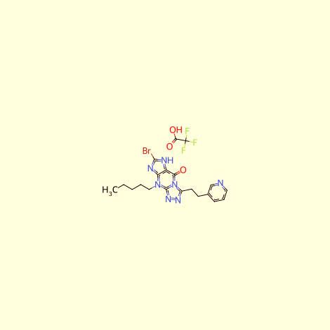 CCCCCn1c2nc(Br)[nH]c2c(=O)n2c(CCc3cccnc3)nnc12.O=C(O)C(F)(F)F